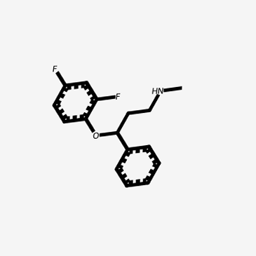 CNCCC(Oc1ccc(F)cc1F)c1ccccc1